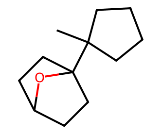 CC1(C23CCC(CC2)O3)CCCC1